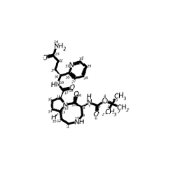 CC(C)(C)OC(=O)N[C@H]1CNCC[C@H]2CC[C@@H](C(=O)N[C@@H](CCC(N)=O)c3ccccn3)N2C1=O